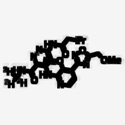 [2H]C([2H])([2H])NC(=O)c1nnc(NC(=O)CC(C)C)cc1Nc1nccc(-c2noc(COC)n2)c1OC